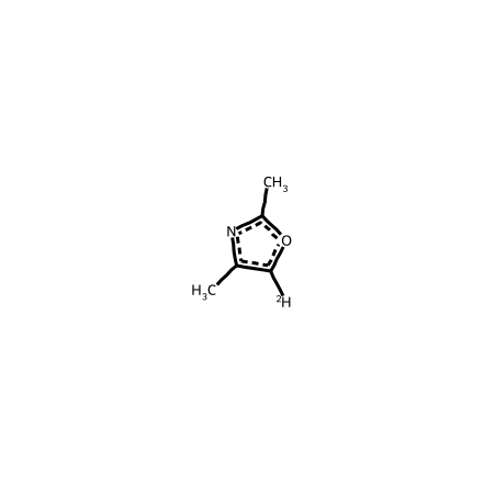 [2H]c1oc(C)nc1C